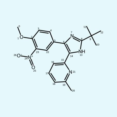 COc1ccc(-c2nc(C(C)(C)C)[nH]c2-c2cccc(C)n2)cc1[N+](=O)[O-]